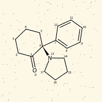 O=C1CCCC[C@@]1(c1ccccc1)N1CCCC1